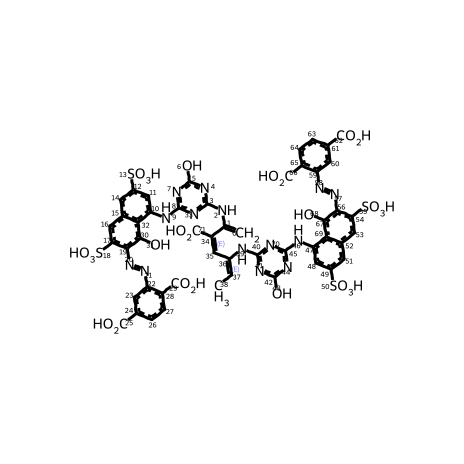 C=C(Nc1nc(O)nc(Nc2cc(S(=O)(=O)O)cc3cc(S(=O)(=O)O)c(N=Nc4cc(C(=O)O)ccc4C(=O)O)c(O)c23)n1)/C(=C\C(=C/C)Nc1nc(O)nc(Nc2cc(S(=O)(=O)O)cc3cc(S(=O)(=O)O)c(N=Nc4cc(C(=O)O)ccc4C(=O)O)c(O)c23)n1)C(=O)O